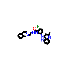 Cc1cc(Nc2ccc(F)c(C(=O)NCCN3CCc4ccccc4C3)c2)c2ccccc2n1